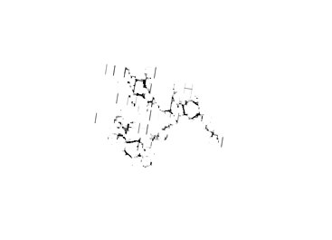 CC[n+]1c(CNC(=O)c2nc(Cl)c(N)nc2N)n(CCOCCn2cc(C(=O)N(C)C)ccc2=O)c2cc(OCCO)ccc21